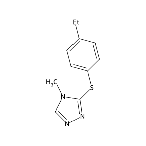 CCc1ccc(Sc2nncn2C)cc1